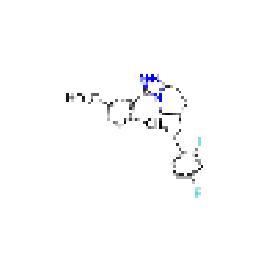 Cc1ccc(C(=O)O)cc1-c1nnc2n1CC(CCc1ccc(F)cc1F)CC2